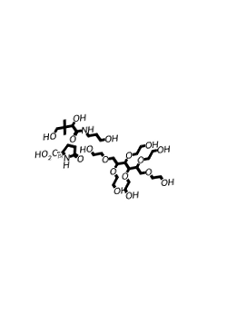 CC(C)(CO)C(O)C(=O)NCCCO.O=C1CC[C@@H](C(=O)O)N1.OCCOCC(OCCO)C(OCCO)C(OCCO)C(COCCO)OCCO